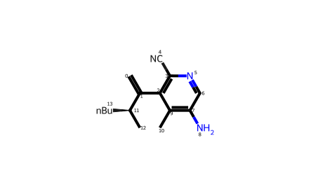 C=C(c1c(C#N)ncc(N)c1C)[C@@H](C)CCCC